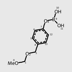 COCOCc1ccc(OB(O)O)cc1